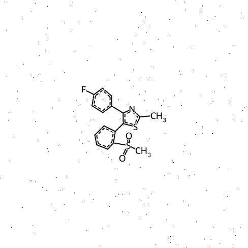 Cc1nc(-c2ccc(F)cc2)c(-c2ccccc2S(C)(=O)=O)s1